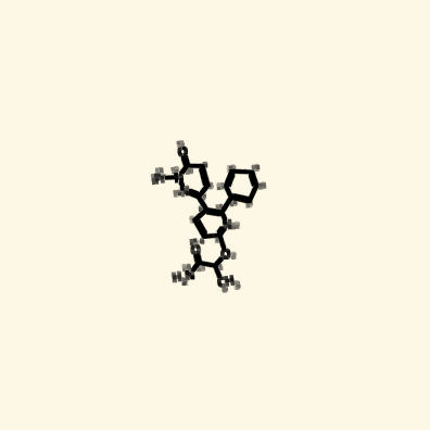 CC(Oc1ccc(-c2ccc(=O)n(C(C)C)n2)c(-c2ccccc2)n1)C(N)=O